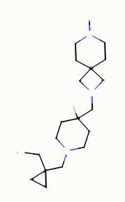 CCN1CCC2(CC1)CN(CC1(F)CCN(CC3(CC(C)C)CC3)CC1)C2